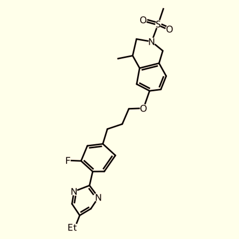 CCc1cnc(-c2ccc(CCCOc3ccc4c(c3)C(C)CN(S(C)(=O)=O)C4)cc2F)nc1